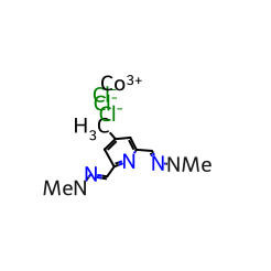 CNN=Cc1cc(C)cc(C=NNC)n1.[Cl-].[Cl-].[Cl-].[Co+3]